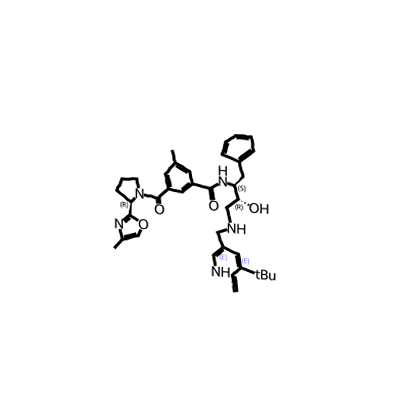 C=C/C(=C\C(=C/N)CNC[C@@H](O)[C@H](Cc1ccccc1)NC(=O)c1cc(C)cc(C(=O)N2CCC[C@@H]2c2nc(C)co2)c1)C(C)(C)C